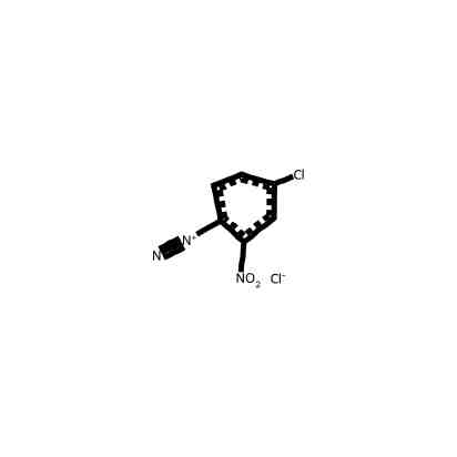 N#[N+]c1ccc(Cl)cc1[N+](=O)[O-].[Cl-]